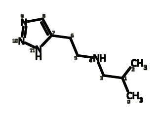 CC(C)CNCCc1cnn[nH]1